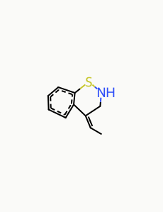 CC=C1CNSc2ccccc21